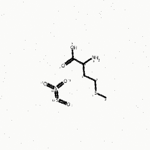 CSCCC(N)C(=O)O.O=S=S(=O)=O